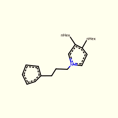 CCCCCCc1cc[n+](CCCc2ccccc2)cc1CCCCCC